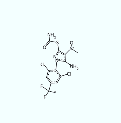 C[S+]([O-])c1c(SC(N)=O)nn(-c2c(Cl)cc(C(F)(F)F)cc2Cl)c1N